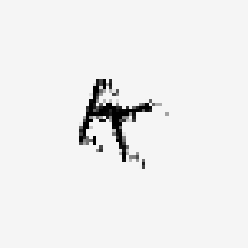 CCCCCCCCC(CCCCCCCC)COC(=O)C(C)O.CCCCCCCCCCCCC(C)(O)C(=O)OCCCCCCCC